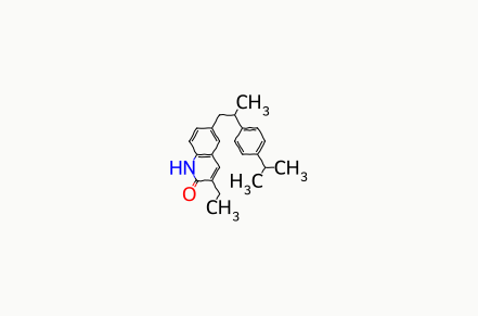 CCc1cc2cc(CC(C)c3ccc(C(C)C)cc3)ccc2[nH]c1=O